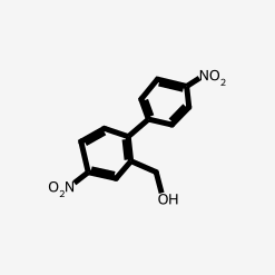 O=[N+]([O-])c1ccc(-c2ccc([N+](=O)[O-])cc2CO)cc1